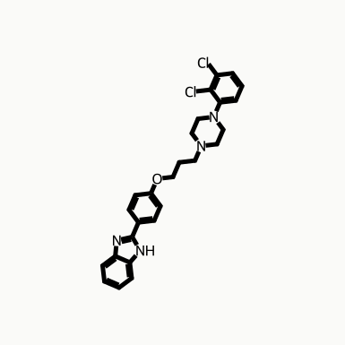 Clc1cccc(N2CCN(CCCOc3ccc(-c4nc5ccccc5[nH]4)cc3)CC2)c1Cl